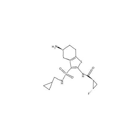 N[C@H]1CCc2sc(NC(=O)[C@H]3C[C@@H]3F)c(S(=O)(=O)NCC3CC3)c2C1